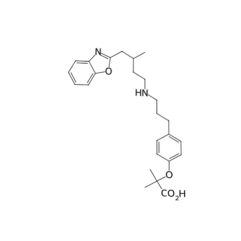 CC(CCNCCCc1ccc(OC(C)(C)C(=O)O)cc1)Cc1nc2ccccc2o1